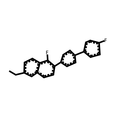 CCc1ccc2c(F)c(-c3ccc(-c4ccc(F)cc4)cc3)ccc2c1